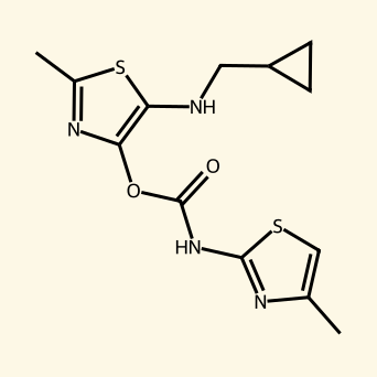 Cc1csc(NC(=O)Oc2nc(C)sc2NCC2CC2)n1